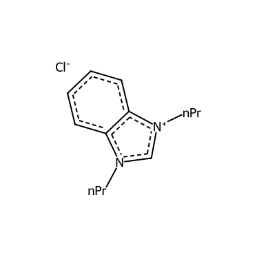 CCCn1c[n+](CCC)c2ccccc21.[Cl-]